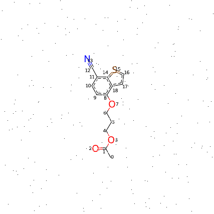 CC(=O)OCCCOc1ccc(C#N)c2sccc12